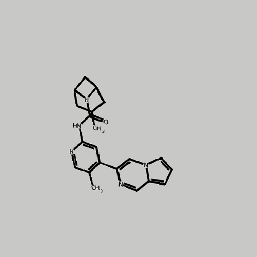 Cc1cnc(NC(=O)N2C3CC(C)CC2C3)cc1-c1cn2cccc2cn1